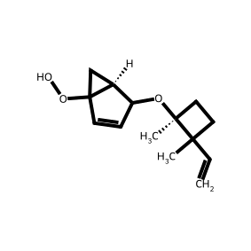 C=CC1(C)CC[C@]1(C)OC1C=CC2(OO)C[C@@H]12